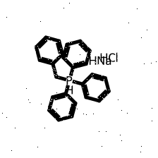 Cl.[NaH].c1ccc(C[PH](c2ccccc2)(c2ccccc2)c2ccccc2)cc1